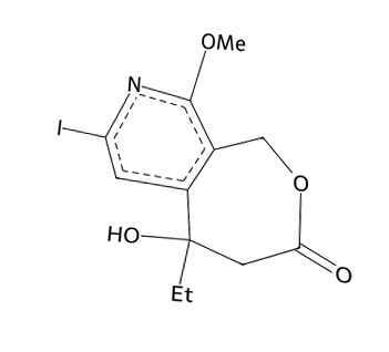 CCC1(O)CC(=O)OCc2c1cc(I)nc2OC